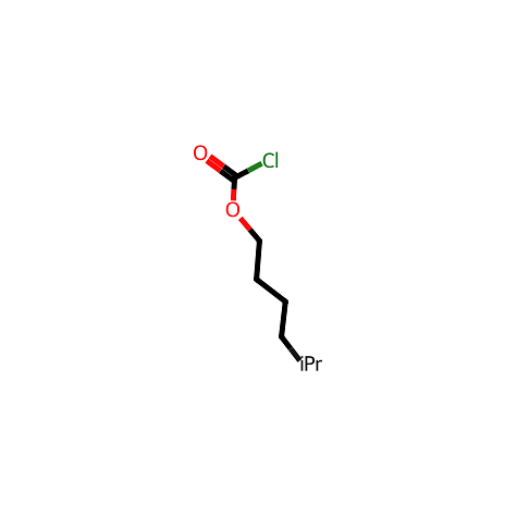 CC(C)CCCCOC(=O)Cl